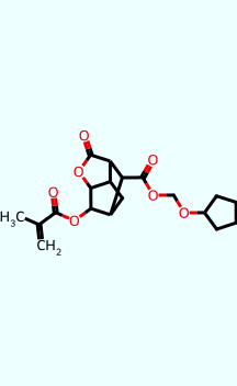 C=C(C)C(=O)OC1C2CC3C1OC(=O)C3C2C(=O)OCOC1CCCC1